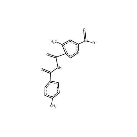 Cc1ccc(C(=O)NC(=O)c2cnc([N+](=O)[O-])cc2C)cc1